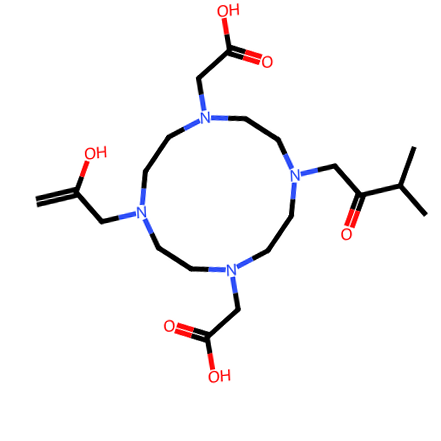 C=C(O)CN1CCN(CC(=O)O)CCN(CC(=O)C(C)C)CCN(CC(=O)O)CC1